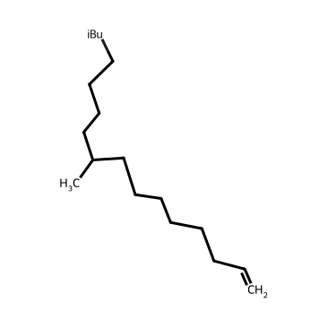 C=CCCCCCCC(C)CCCCC(C)CC